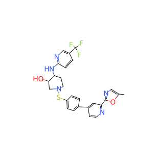 Cc1cnc(-c2cc(-c3ccc(SN4CCC(Nc5ccc(C(F)(F)F)cn5)C(O)C4)cc3)ccn2)o1